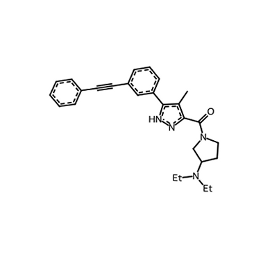 CCN(CC)C1CCN(C(=O)c2n[nH]c(-c3cccc(C#Cc4ccccc4)c3)c2C)C1